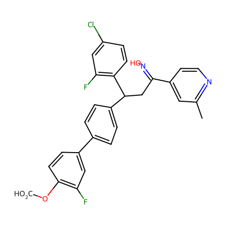 Cc1cc(/C(CC(c2ccc(-c3ccc(OC(=O)O)c(F)c3)cc2)c2ccc(Cl)cc2F)=N/O)ccn1